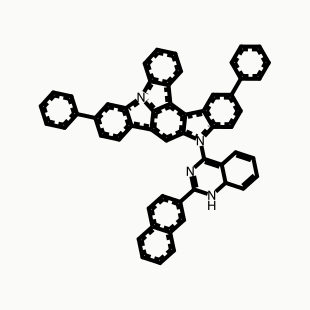 C1=CC2=C(n3c4ccc(-c5ccccc5)cc4c4c5c6ccccc6n6c7cc(-c8ccccc8)ccc7c(cc43)c56)N=C(c3ccc4ccccc4c3)NC2C=C1